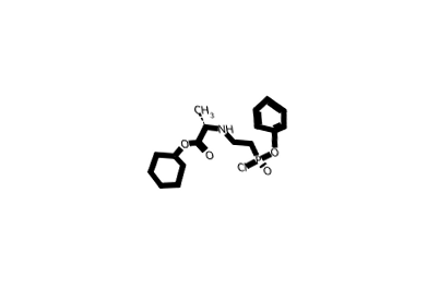 C[C@H](NCCP(=O)(Cl)Oc1ccccc1)C(=O)OC1CCCCC1